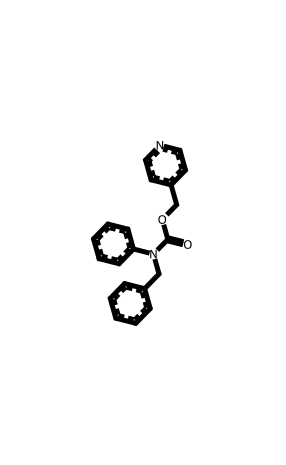 O=C(OCc1ccncc1)N(Cc1ccccc1)c1ccccc1